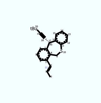 C/C=C/c1cccc2c1CSc1ccccc1[C@H]2C#CC(C)(C)C